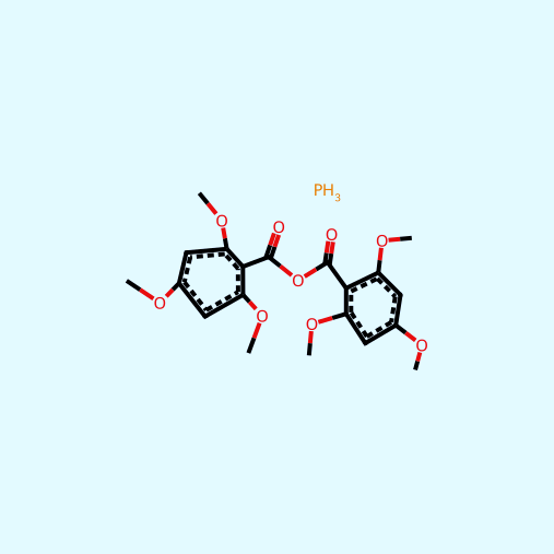 COc1cc(OC)c(C(=O)OC(=O)c2c(OC)cc(OC)cc2OC)c(OC)c1.P